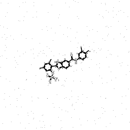 Cc1cc(C)c(-c2nc3ccc(C(=O)Nc4ccc(C)c(C)c4)cc3[nH]2)c(OS(=O)(=O)C(F)(F)F)c1